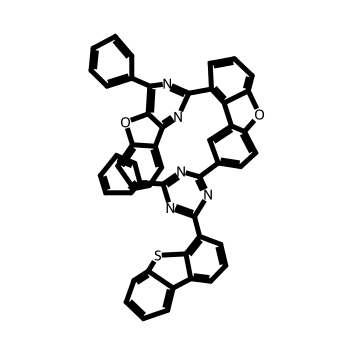 c1ccc(-c2nc(-c3ccc4oc5cccc(-c6nc(-c7ccccc7)c7oc8ccccc8c7n6)c5c4c3)nc(-c3cccc4c3sc3ccccc34)n2)cc1